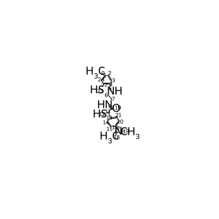 Cc1ccc(NCCNC(=O)C(S)c2ccc(N(C)C)cc2)c(S)c1